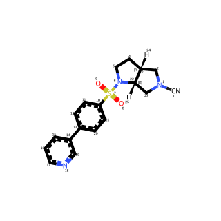 N#CN1C[C@H]2CCN(S(=O)(=O)c3ccc(-c4cccnc4)cc3)[C@H]2C1